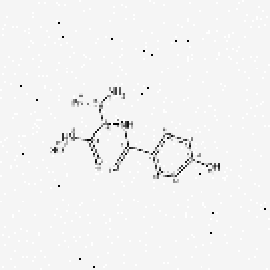 CC(C)[C@H](N)[C@@H](NC(=O)c1ccc(O)cc1)C(=O)NO